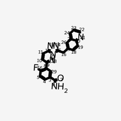 NC(=O)c1ccc(F)c(-c2ccc3nnc(Cc4ccc5ncccc5c4)n3n2)c1